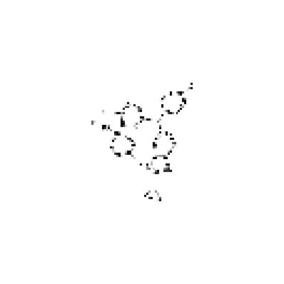 Cl.Oc1ccc(Cn2c(C3CC3)nc3ccc(C(c4ccc(Cl)cc4)c4ccc(Cl)cc4)cc32)cc1